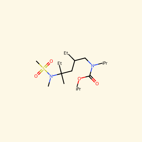 CCC(CN(C(=O)OC(C)C)C(C)C)CC(C)(CC)N(C)S(C)(=O)=O